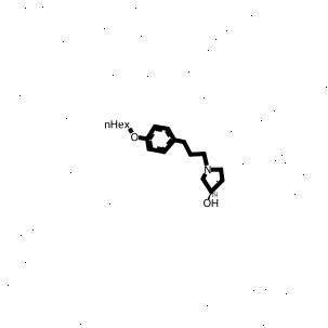 CCCCCCOc1ccc(CCCN2CC[C@H](O)C2)cc1